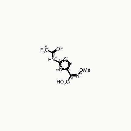 CO/N=C(/C(=O)O)c1csc(NC(=O)C(F)(F)F)n1